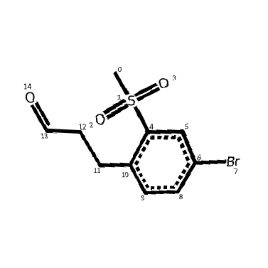 CS(=O)(=O)c1cc(Br)ccc1CCC=O